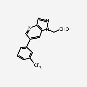 O=[C]Cn1ncc2ncc(-c3cccc(C(F)(F)F)c3)cc21